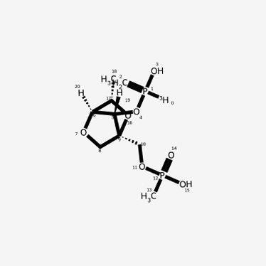 [3H]P(=C)(O)O[C@H]1[C@H]2OC[C@]1(COP(C)(=O)O)O[C@H]2C